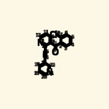 O=C(c1ccccc1Cl)c1cccnc1C#Cc1cccnc1